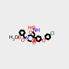 COc1ccccc1C(=O)N1CCC(CC(=O)NO)(c2ccc(Oc3ccc(Cl)cc3)cc2)S(=O)(=O)CC1